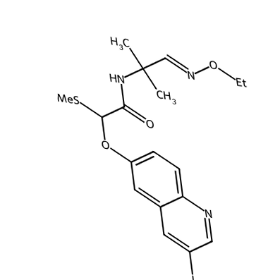 CCON=CC(C)(C)NC(=O)C(Oc1ccc2ncc(I)cc2c1)SC